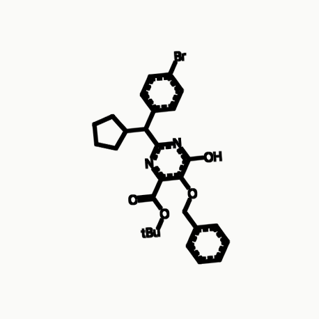 CC(C)(C)OC(=O)c1nc(C(c2ccc(Br)cc2)C2CCCC2)nc(O)c1OCc1ccccc1